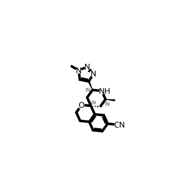 C[C@H]1C[C@@]2(C[C@@H](c3cn(C)nn3)N1)OCCc1ccc(C#N)cc12